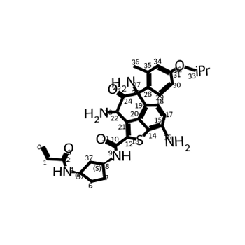 C=CC(=O)N[C@@H]1CC[C@H](NC(=O)c2sc3c(N)ccc4c3c2C(N)C(=O)C4(N)c2ccc(OC(C)C)cc2C)C1